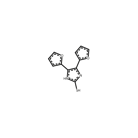 Sc1nc(-c2ccco2)c(-c2ccco2)[nH]1